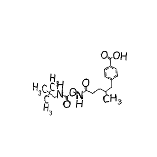 CC(CCC(=O)NOC(=O)NCC(C)(C)C)Cc1ccc(C(=O)O)cc1